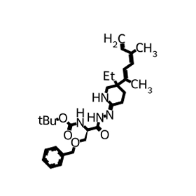 C=C/C(C)=C\C=C(/C)C1(CC)CC/C(=N/NC(=O)[C@@H](COCc2ccccc2)NC(=O)OC(C)(C)C)NC1